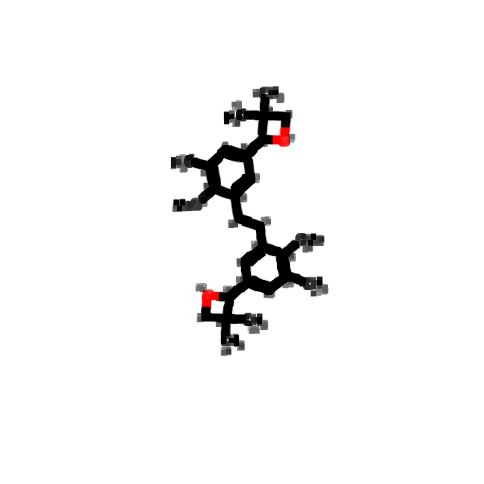 COc1c(C)cc(C2OCC2(C)C)cc1CCc1cc(C2OCC2(C)C)cc(C)c1OC